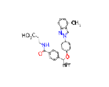 CCCC(Oc1ccc(-n2cc3c(C)cccc3n2)cc1)c1ccc(C(=O)NCCC(=O)O)cc1